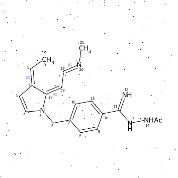 C/C=c1/ccn(Cc2ccc(C(=N)NNC(C)=O)cc2)/c1=C/C=N/C